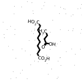 CCCC(=O)O.O=C(O)CCCCCCCCC(=O)O